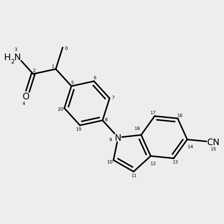 CC(C(N)=O)c1ccc(-n2ccc3cc(C#N)ccc32)cc1